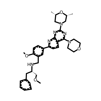 COC[C@H](Cc1ccccc1)NCc1cc(-c2ccc3c(N4CCOCC4)nc(N4C[C@@H](C)O[C@@H](C)C4)nc3n2)ccc1OC